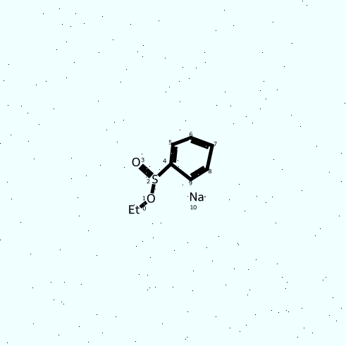 CCOS(=O)c1ccccc1.[Na]